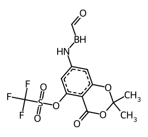 CC1(C)OC(=O)c2c(cc(NBC=O)cc2OS(=O)(=O)C(F)(F)F)O1